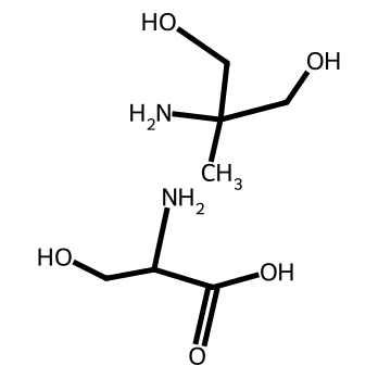 CC(N)(CO)CO.NC(CO)C(=O)O